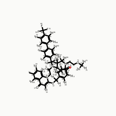 [2H]c1c([2H])c(F)c(F)c(C([2H])([2H])Sc2c([2H])c(=O)c3c([2H])c(C)c([2H])c([2H])c3n2CC(=O)N(C([2H])([2H])c2c([2H])c([2H])c(-c3c([2H])c([2H])c(C(F)(F)F)c([2H])c3[2H])c([2H])c2[2H])C2([2H])C([2H])([2H])C([2H])([2H])N(CCOC([2H])([2H])[2H])C([2H])([2H])C2([2H])[2H])c1[2H]